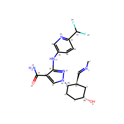 CN=C[C@H]1C[C@H](O)CC[C@@H]1n1cc(C(N)=O)c(Nc2ccc(C(F)F)nc2)n1